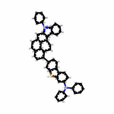 c1ccc(N(c2ccccc2)c2ccc3c(c2)sc2cc(-c4ccc5ccc6cc7c(c8ccc4c5c68)c4ccccc4n7-c4ccccc4)ccc23)cc1